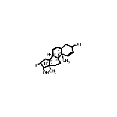 C[C@]12C=CC(O)CC1C=C[C@H]1[C@@H]3CC(F)C(O)[C@@]3(C)CC[C@]12F